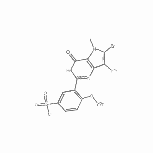 CCCOc1ccc(S(=O)(=O)Cl)cc1-c1nc2c(CCC)c(Br)n(C)c2c(=O)[nH]1